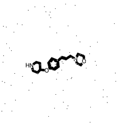 C(=Cc1ccc(OC2CCNCC2)cc1)CN1CCOCC1